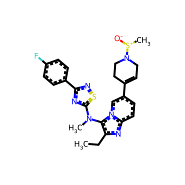 CCc1nc2ccc(C3=CCN([S+](C)[O-])CC3)cn2c1N(C)c1nc(-c2ccc(F)cc2)ns1